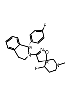 CN1CCC(F)[C@@]2(CC(N3CCc4ccccc4[C@@H]3c3ccc(F)cc3)=NO2)C1